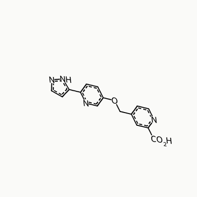 O=C(O)c1cc(COc2ccc(-c3ccn[nH]3)nc2)ccn1